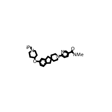 CNC(=O)c1ccc(N2CCC3(CC2)Cc2ccc(OC4CCN(C(C)C)CC4)cc2C3)nc1